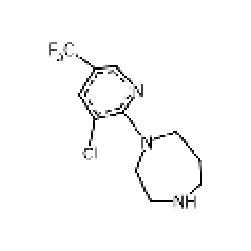 FC(F)(F)c1cnc(N2CCCNCC2)c(Cl)c1